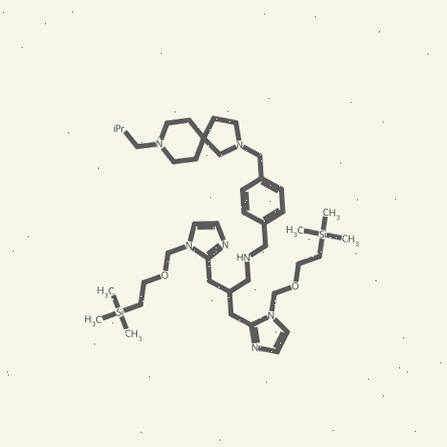 CC(C)CN1CCC2(CC1)CCN(Cc1ccc(CNCC(Cc3nccn3COCC[Si](C)(C)C)Cc3nccn3COCC[Si](C)(C)C)cc1)C2